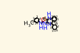 Cc1cccc(NC(=O)N[C@@H]2N=C(C3CCCCC3)c3ccccc3NC2=S)c1